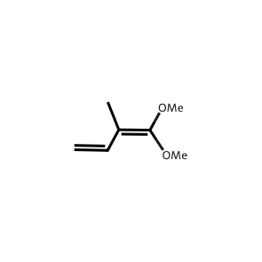 C=CC(C)=C(OC)OC